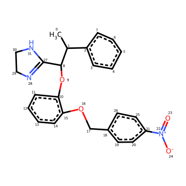 CC(c1ccccc1)C(Oc1ccccc1OCc1ccc([N+](=O)[O-])cc1)C1=NCCN1